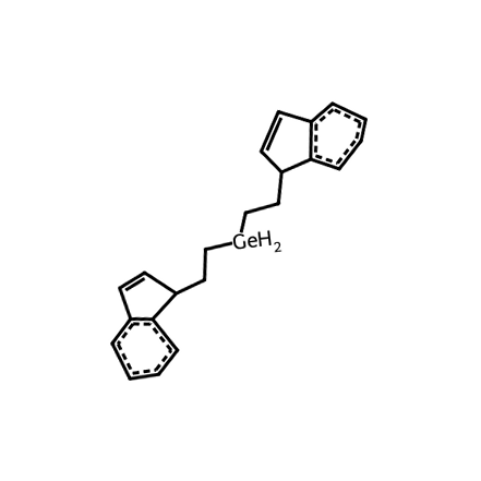 C1=CC(C[CH2][GeH2][CH2]CC2C=Cc3ccccc32)c2ccccc21